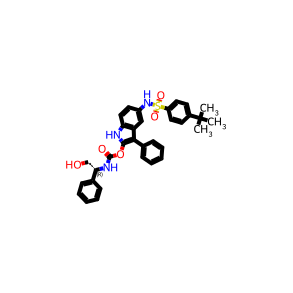 CC(C)(C)c1ccc(S(=O)(=O)Nc2ccc3[nH]c(OC(=O)N[C@@H](CO)c4ccccc4)c(-c4ccccc4)c3c2)cc1